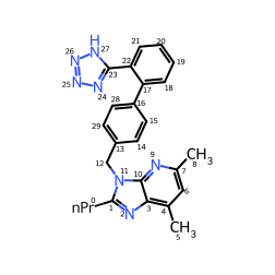 CCCc1nc2c(C)cc(C)nc2n1Cc1ccc(-c2ccccc2-c2nnn[nH]2)cc1